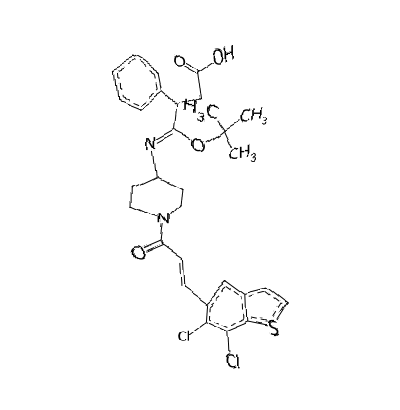 CC(C)(C)OC(=NC1CCN(C(=O)C=Cc2cc3ccsc3c(Cl)c2Cl)CC1)C(CC(=O)O)c1ccccc1